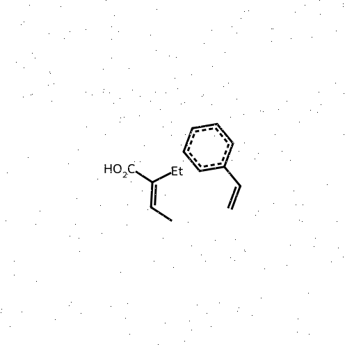 C/C=C(\CC)C(=O)O.C=Cc1ccccc1